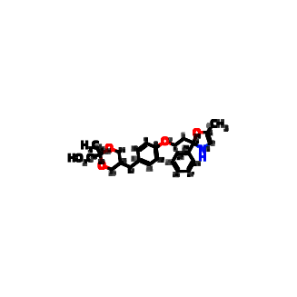 CC1=CNC(CCOc2ccc(CC3COC(C)(C(=O)O)OC3)cc2)(c2ccccc2)O1